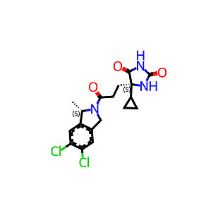 C[C@H]1c2cc(Cl)c(Cl)cc2CN1C(=O)CC[C@@]1(C2CC2)NC(=O)NC1=O